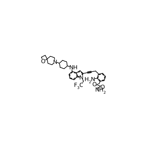 Nc1c(CC#Cc2cc3c(NC4CCC(N5CCC6(CCO6)CC5)CC4)cccc3n2CC(F)(F)F)cccc1S(N)(=O)=O